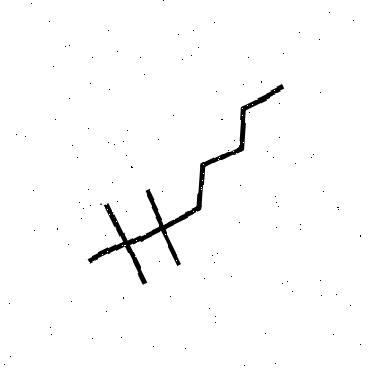 [CH2]C(C)(C)C(C)(C)CCCCC